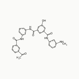 CNc1cccc(NC(=O)c2cc(O)cc(C(=O)Nc3cccc(NC(=O)c4cccc(C(C)=O)c4)c3)c2)c1